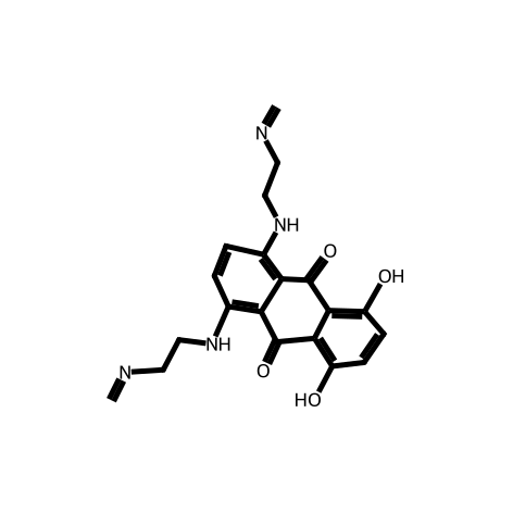 C=NCCNc1ccc(NCCN=C)c2c1C(=O)c1c(O)ccc(O)c1C2=O